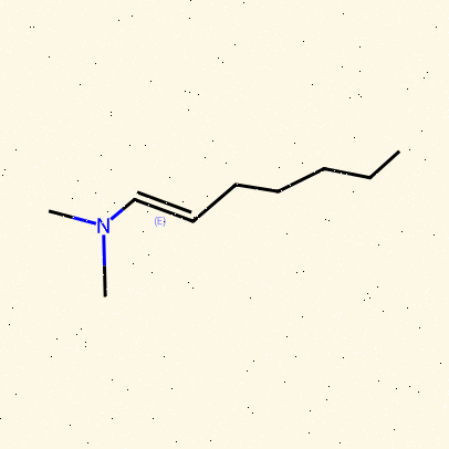 CCCCC/C=C/N(C)C